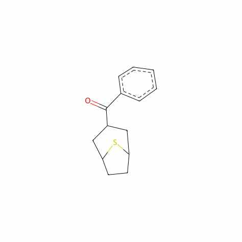 O=C(c1ccccc1)C1CC2CCC(C1)S2